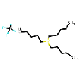 CCCCC[S+](CCCCC)CCCCC.F[B-](F)(F)F